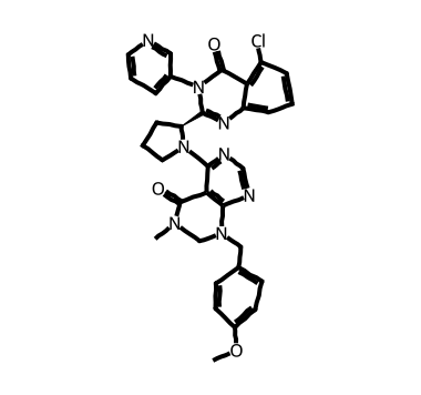 COc1ccc(CN2CN(C)C(=O)c3c2ncnc3N2CCC[C@H]2c2nc3cccc(Cl)c3c(=O)n2-c2cccnc2)cc1